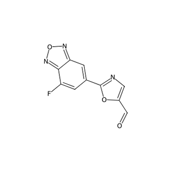 O=Cc1cnc(-c2cc(F)c3nonc3c2)o1